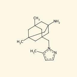 Cc1ccnn1CC12CC3(C)CC(C)(CC(N)(C3)C1)C2